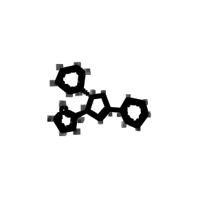 C1=C(c2ccccc2)C[C@@H](c2ccccc2)[C@@H]1c1ccco1